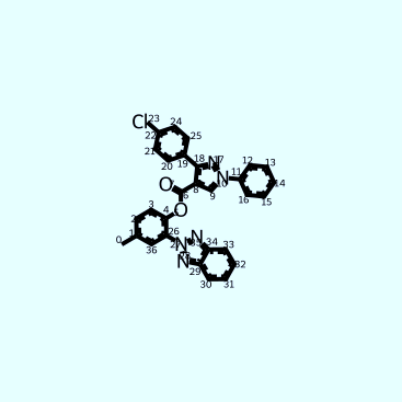 Cc1ccc(OC(=O)c2cn(-c3ccccc3)nc2-c2ccc(Cl)cc2)c(-n2nc3ccccc3n2)c1